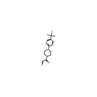 O=CC(=O)N1CCN(c2ncc(C(F)(F)F)cn2)CC1